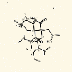 CC[C@H](C)[C@H](NC)C(=O)OC(CC(C)O)(C(=O)O)C(CC(C)O)(C(=O)[C@@H](C)NC)C(=O)[C@@H](C)NC